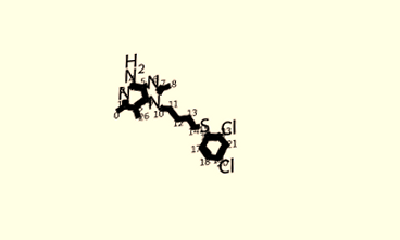 Cc1nc(N)c2nc(C)n(CCCCCSc3ccc(Cl)cc3Cl)c2c1C